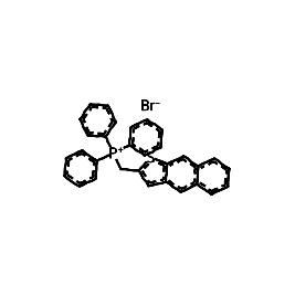 [Br-].c1ccc([P+](Cc2cc3cc4ccccc4cc3s2)(c2ccccc2)c2ccccc2)cc1